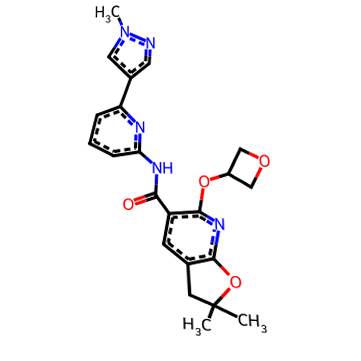 Cn1cc(-c2cccc(NC(=O)c3cc4c(nc3OC3COC3)OC(C)(C)C4)n2)cn1